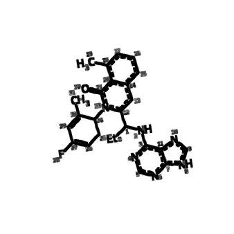 CCC(Nc1ncnc2[nH]cnc12)c1cc2cccc(C)c2c(=O)n1C1CC=C(F)C=C1C